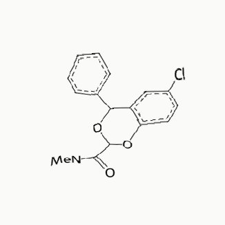 CNC(=O)C1Oc2ccc(Cl)cc2C(c2ccccc2)O1